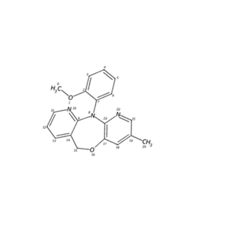 COc1ccccc1N1c2ncccc2COc2cc(C)cnc21